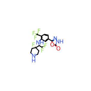 O=c1[nH]nc(-c2ccc(C(F)(F)F)c(N[C@@H](C(F)F)C3(F)CCNCC3)c2)o1